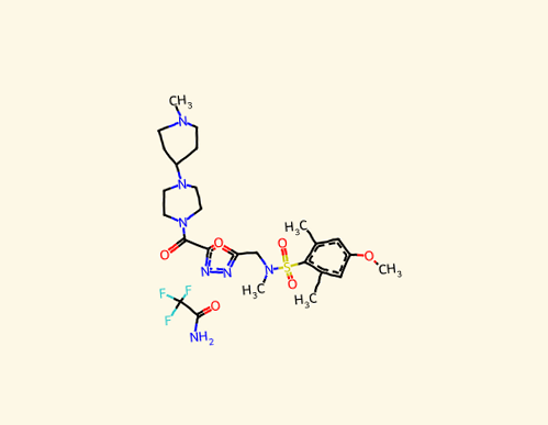 COc1cc(C)c(S(=O)(=O)N(C)Cc2nnc(C(=O)N3CCN(C4CCN(C)CC4)CC3)o2)c(C)c1.NC(=O)C(F)(F)F